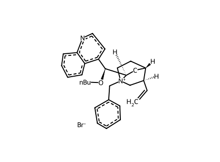 C=C[C@H]1C[N+]2(Cc3ccccc3)CC[C@H]1C[C@@H]2[C@@H](OCCCC)c1ccnc2ccccc12.[Br-]